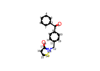 O=C(c1ccccc1)c1ccc(Cn2sccc2=O)cc1